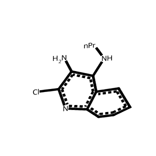 CCCNc1c(N)c(Cl)nc2ccccc12